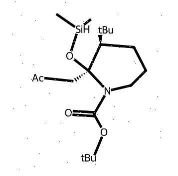 CC(=O)C[C@]1(O[SiH](C)C)[C@@H](C(C)(C)C)CCCN1C(=O)OC(C)(C)C